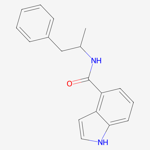 CC(Cc1ccccc1)NC(=O)c1cccc2[nH]ccc12